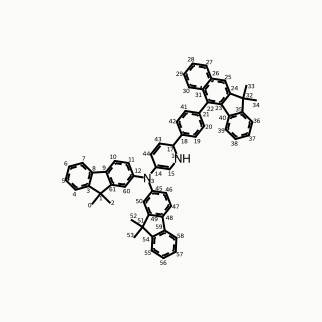 CC1(C)c2ccccc2-c2ccc(N(C3=CNC(c4ccc(-c5c6c(cc7ccccc57)C(C)(C)c5ccccc5-6)cc4)C=C3)c3ccc4c(c3)C(C)(C)c3ccccc3-4)cc21